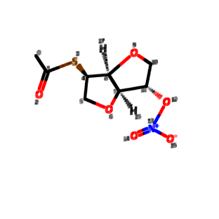 CC(=O)S[C@@H]1CO[C@H]2[C@@H]1OC[C@@H]2O[N+](=O)[O-]